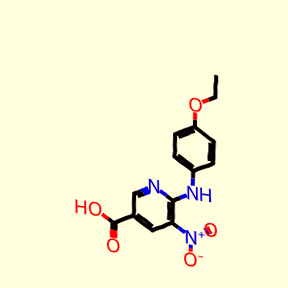 CCOc1ccc(Nc2ncc(C(=O)O)cc2[N+](=O)[O-])cc1